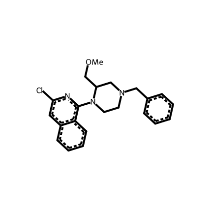 COCC1CN(Cc2ccccc2)CCN1c1nc(Cl)cc2ccccc12